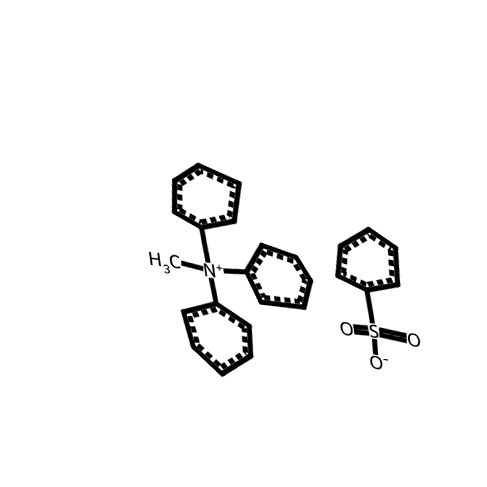 C[N+](c1ccccc1)(c1ccccc1)c1ccccc1.O=S(=O)([O-])c1ccccc1